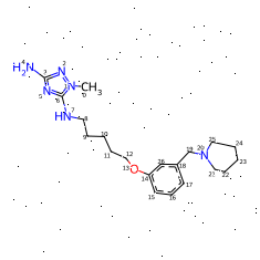 Cn1nc(N)nc1NCCCCCOc1cccc(CN2CCCCC2)c1